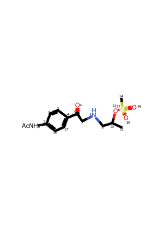 CC(=O)Nc1ccc(C(=O)CNCC(C)OS(C)(=O)=O)cc1